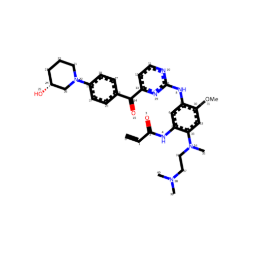 C=CC(=O)Nc1cc(Nc2nccc(C(=O)c3ccc(N4CCC[C@@H](O)C4)cc3)n2)c(OC)cc1N(C)CCN(C)C